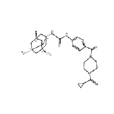 C[C@]12C[C@@H]3C[C@](C)(C1)C[C@@](NC(=O)Nc1ccc(C(=O)N4CCN(C(=O)C5CC5)CC4)cc1)(C3)C2